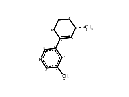 Cc1cncc(C2=C[C@@H](C)CCC2)c1